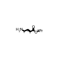 CC(C)OC(=O)C=CCN